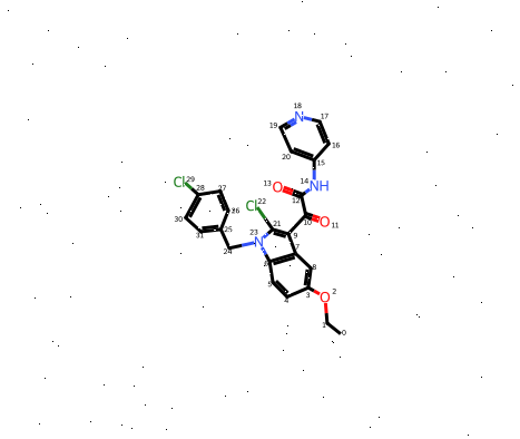 CCOc1ccc2c(c1)c(C(=O)C(=O)Nc1ccncc1)c(Cl)n2Cc1ccc(Cl)cc1